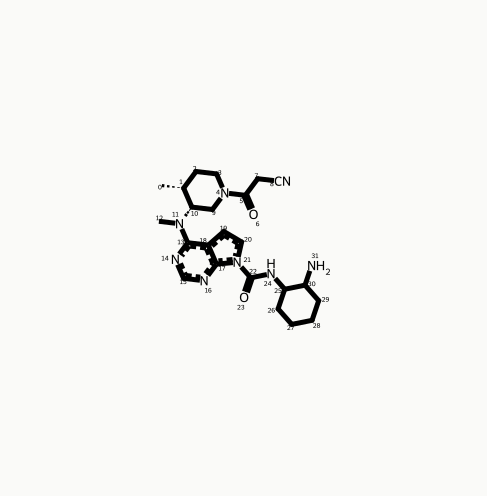 C[C@@H]1CCN(C(=O)CC#N)C[C@@H]1N(C)c1ncnc2c1ccn2C(=O)NC1CCCCC1N